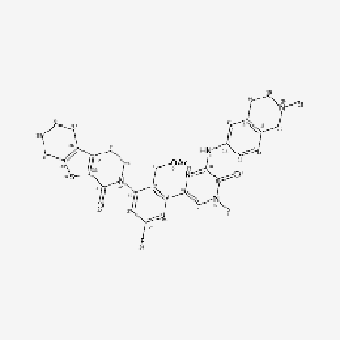 CC(=O)OCc1c(-c2cn(C)c(=O)c(Nc3ccc4c(c3)CCN(C)C4)n2)cc(F)cc1N1CCc2c(sc3c2CCCC3)C1=O